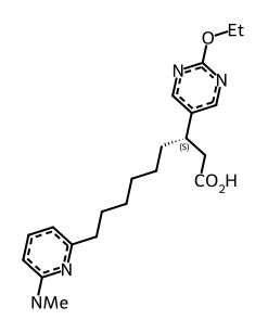 CCOc1ncc([C@@H](CCCCCCc2cccc(NC)n2)CC(=O)O)cn1